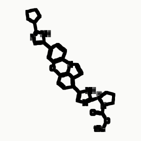 CC(C)(C)OC(=O)N1CCC[C@@H]1c1ncc(-c2ccc3c4c2ccn4-c2ccc(-c4cnc(C5CCCC5)[nH]4)cc2O3)[nH]1